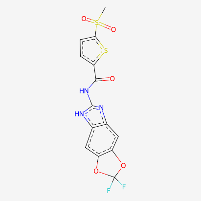 CS(=O)(=O)c1ccc(C(=O)Nc2nc3cc4c(cc3[nH]2)OC(F)(F)O4)s1